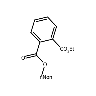 CCCCCCCCCOC(=O)c1ccccc1C(=O)OCC